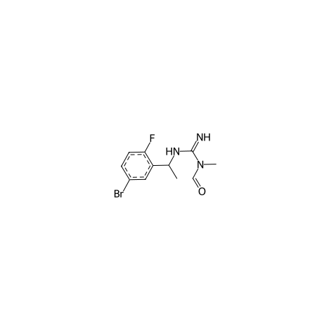 CC(NC(=N)N(C)C=O)c1cc(Br)ccc1F